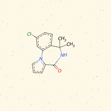 CC1(C)NC(=O)c2cccn2-c2cc(Cl)ccc21